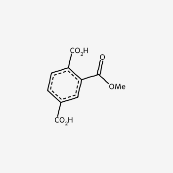 COC(=O)c1cc(C(=O)O)ccc1C(=O)O